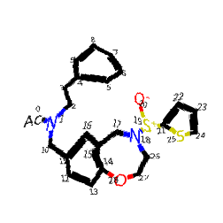 CC(=O)N(CCc1ccccc1)Cc1ccc2c(c1)CN([S+]([O-])c1cccs1)CCO2